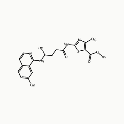 Cc1nc(NC(=O)CCC(S)Nc2nccc3ccc(C#N)cc23)sc1C(=O)OC(C)C